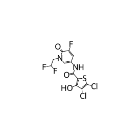 O=C(Nc1cc(F)c(=O)n(CC(F)F)c1)c1sc(Cl)c(Cl)c1O